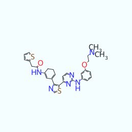 CN(C)CCOc1cccc(Nc2nccc(-c3scnc3C3=CCCC(NC(=O)Cc4cccs4)=C3)n2)c1